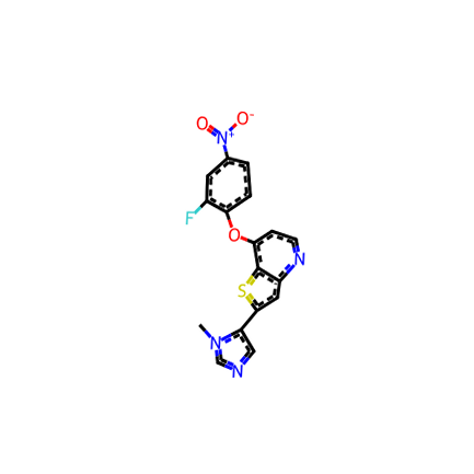 Cn1cncc1-c1cc2nccc(Oc3ccc([N+](=O)[O-])cc3F)c2s1